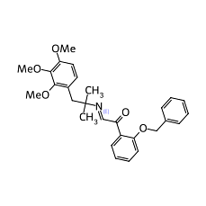 COc1ccc(CC(C)(C)/N=C/C(=O)c2ccccc2OCc2ccccc2)c(OC)c1OC